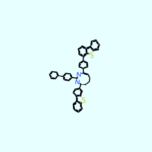 C1=C(c2ccc(-c3cccc4c3sc3ccccc34)cc2)/N=C(c2ccc(-c3ccccc3)cc2)\N=C(\c2ccc3c(c2)sc2ccccc23)CCC\1